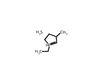 CC[PH]1=CC(C)CC1.S